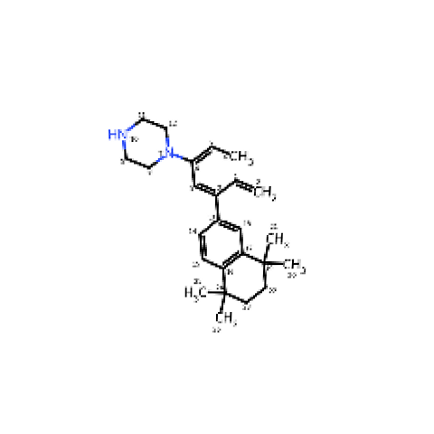 C=C/C(=C\C(=C/C)N1CCNCC1)c1ccc2c(c1)C(C)(C)CCC2(C)C